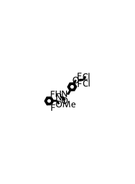 COC(=NC(=O)NCc1ccc(OC(F)(F)C(Cl)Cl)cc1)c1c(F)cccc1F